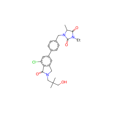 CCN1C(=O)C(C)N(Cc2ccc(-c3cc(Cl)c4c(c3)CN(CC(C)(C)CO)C4=O)cc2)C1=O